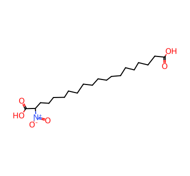 O=C(O)CCCCCCCCCCCCCCCCCC(C(=O)O)[N+](=O)[O-]